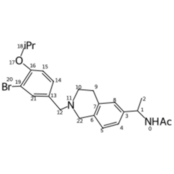 CC(=O)NC(C)c1ccc2c(c1)CCN(Cc1ccc(OC(C)C)c(Br)c1)C2